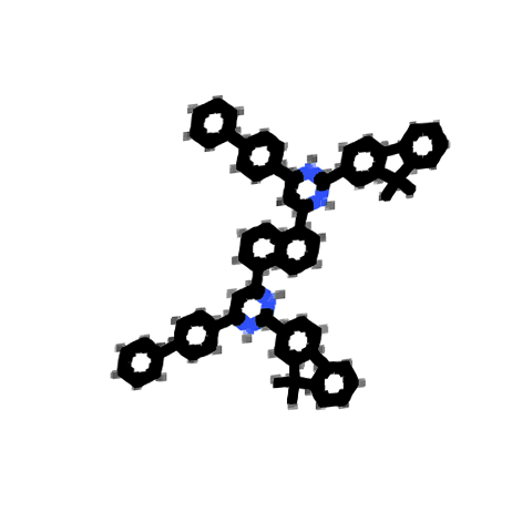 CC1(C)c2ccccc2-c2ccc(-c3nc(-c4ccc(-c5ccccc5)cc4)cc(-c4cccc5c(-c6cc(-c7ccc(-c8ccccc8)cc7)nc(-c7ccc8c(c7)C(C)(C)c7ccccc7-8)n6)cccc45)n3)cc21